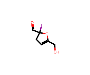 O=CC1(I)CC=C(CO)O1